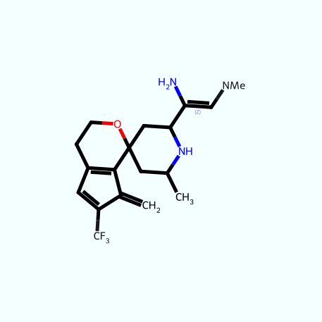 C=C1C(C(F)(F)F)=CC2=C1C1(CC(C)NC(/C(N)=C/NC)C1)OCC2